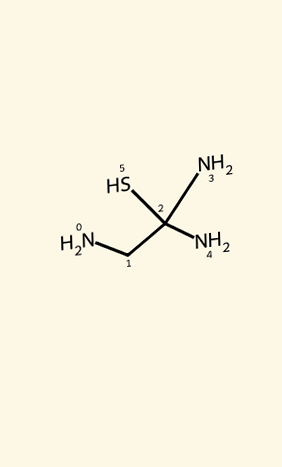 NCC(N)(N)S